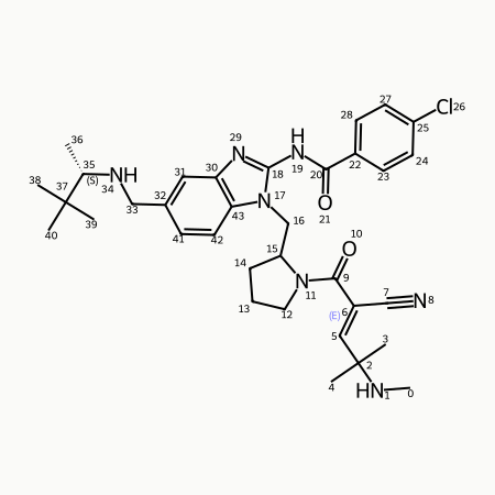 CNC(C)(C)/C=C(\C#N)C(=O)N1CCCC1Cn1c(NC(=O)c2ccc(Cl)cc2)nc2cc(CN[C@@H](C)C(C)(C)C)ccc21